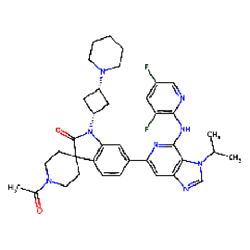 CC(=O)N1CCC2(CC1)C(=O)N([C@H]1C[C@@H](N3CCCCC3)C1)c1cc(-c3cc4ncn(C(C)C)c4c(Nc4ncc(F)cc4F)n3)ccc12